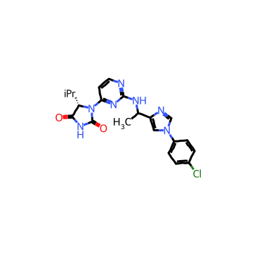 CC(Nc1nccc(N2C(=O)NC(=O)[C@@H]2C(C)C)n1)c1cn(-c2ccc(Cl)cc2)cn1